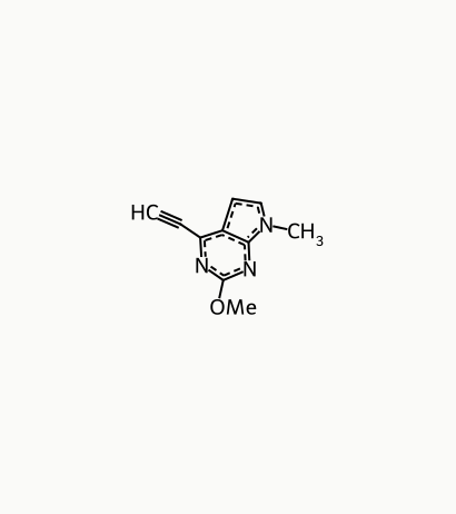 C#Cc1nc(OC)nc2c1ccn2C